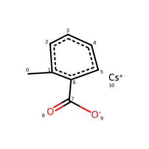 Cc1ccccc1C(=O)[O-].[Cs+]